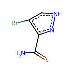 NC(=S)c1n[nH]cc1Br